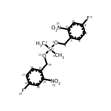 C[Si](C)(OCc1ccc(F)cc1[N+](=O)[O-])OCc1ccc(F)cc1[N+](=O)[O-]